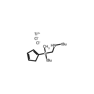 CC(C)(C)NC[Si](C)(C1=CC=CC1)C(C)(C)C.[Cl-].[Cl-].[Ti+2]